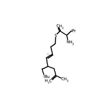 C=C(C)CC(/C=C/CCSC(=C)C(N)C(C)C)CC(C)(C)C